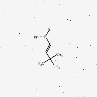 CC(C)(C)C=CB(Br)Br